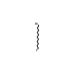 FCCCCCCCCCCCBr